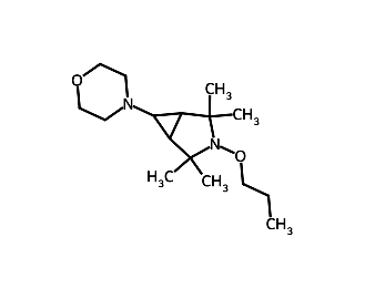 CCCON1C(C)(C)C2C(N3CCOCC3)C2C1(C)C